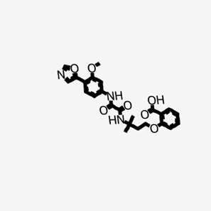 COc1cc(NC(=O)C(=O)NC(C)(C)CCOc2ccccc2C(=O)O)ccc1-c1cnco1